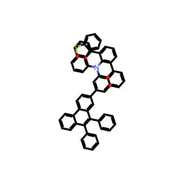 c1ccc(-c2cccc(-c3ccccc3)c2N(c2cccc(-c3ccc4c(c3)c(-c3ccccc3)c(-c3ccccc3)c3ccccc34)c2)c2cccc3sc4ccccc4c23)cc1